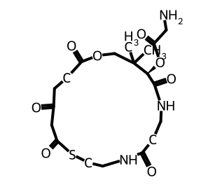 CC1(C)COC(=O)CCC(=O)CC(=O)SCCNC(=O)CCNC(=O)[C@@H]1OC(=O)CN